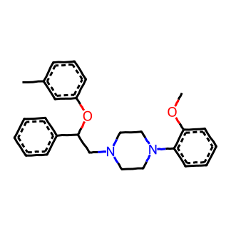 COc1ccccc1N1CCN(CC(Oc2cccc(C)c2)c2ccccc2)CC1